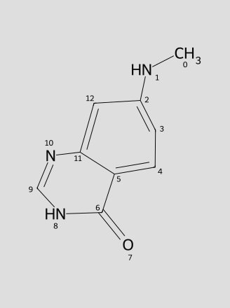 CNc1ccc2c(=O)[nH]cnc2c1